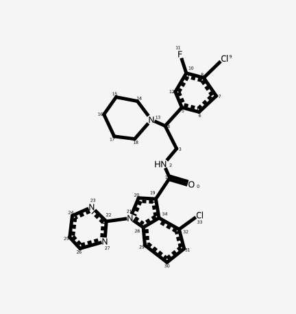 O=C(NCC(c1ccc(Cl)c(F)c1)N1CCCCC1)c1cn(-c2ncccn2)c2cccc(Cl)c12